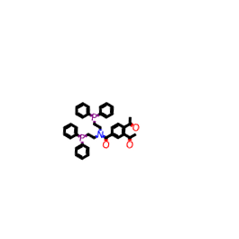 CC(=O)c1ccc(C(=O)N(CCP(c2ccccc2)c2ccccc2)CCP(c2ccccc2)c2ccccc2)cc1C(C)=O